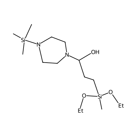 CCO[Si](C)(CCC(O)N1CCN([Si](C)(C)C)CC1)OCC